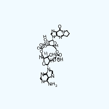 Nc1ncnc2c1ncn2[C@@H]1O[C@@H]2COP(=O)(O)O[C@H]3[C@@H](O)[C@H](n4cnc5c(=O)n6c(nc54)CCC6)O[C@@H]3COP(=O)(O)O[C@@H]1[C@@H]2O